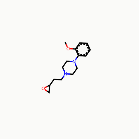 COc1ccccc1N1CCN(CCC2CO2)CC1